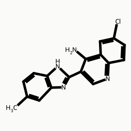 Cc1ccc2[nH]c(-c3cnc4ccc(Cl)cc4c3N)nc2c1